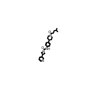 CC(C)CCC(=O)N1CCC(c2ccc(NC(=O)N3CC(c4cccnc4)C3)cc2)CC1